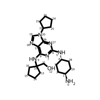 N[C@H]1CC[C@H](Nc2nc(NC3(CO)CCCC3)c3ncn(C4CCCC4)c3n2)CC1